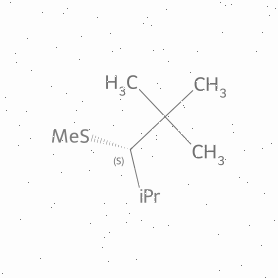 CS[C@@H](C(C)C)C(C)(C)C